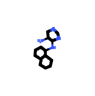 Nc1cncnc1Nc1cccc2ccccc12